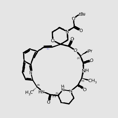 CC(C)[C@@H]1OC(=O)C2(/C=C/c3ccc4ccc(nc4c3)[C@@H](C)NC(=O)[C@@H]3CCCN(N3)C(=O)[C@H](C)NC1=O)CN(C(=O)OC(C)(C)C)CCO2